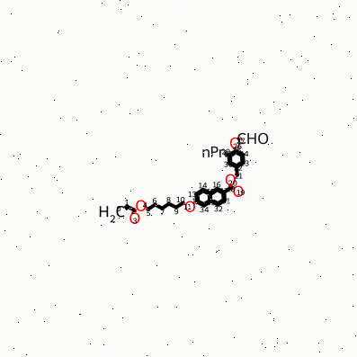 C=CC(=O)OCCCCCCOc1ccc2cc(C(=O)OCc3ccc(OC=O)c(CCC)c3)ccc2c1